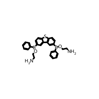 NCCOB(c1ccccc1)c1ccc2sc3ccc(B(OCCN)c4ccccc4)cc3c2c1